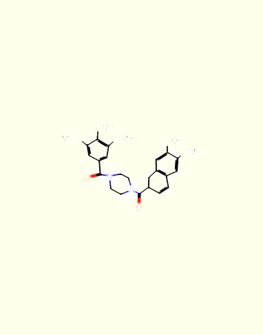 COc1cc2c(cc1OC)CC(C(=O)N1CCN(C(=O)c3cc(OC)c(OC)c(OC)c3)CC1)C=C2